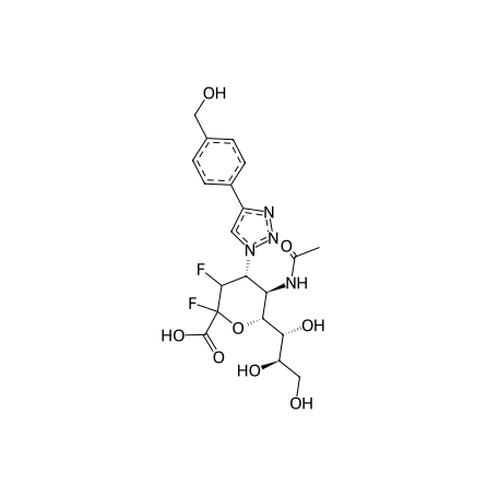 CC(=O)N[C@H]1[C@H]([C@H](O)[C@H](O)CO)OC(F)(C(=O)O)C(F)[C@@H]1n1cc(-c2ccc(CO)cc2)nn1